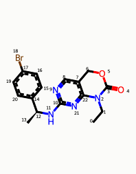 CCN1C(=O)OCc2cnc(N[C@@H](C)c3ccc(Br)cc3)nc21